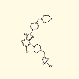 CC(C)c1nc(CN2CCN(c3c(Br)cnc4[nH]c(-c5ccc(CN6CCOCC6)cc5)nc34)CC2)co1